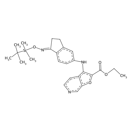 CCOC(=O)c1oc2cnccc2c1Nc1ccc2c(c1)CCC2=NO[Si](C)(C)C(C)(C)C